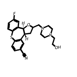 N#Cc1ccc2c(c1)[C@H]1CC(CN3CCN(CCO)CC3)O[C@@H]1c1cc(F)ccc1S2